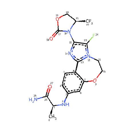 C[C@H](Nc1ccc2c(c1)OCCn1c-2nc(N2C(=O)OC[C@H]2C(F)(F)F)c1F)C(N)=O